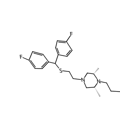 CCCN1[C@H](C)CN(CCSC(c2ccc(F)cc2)c2ccc(F)cc2)C[C@@H]1C